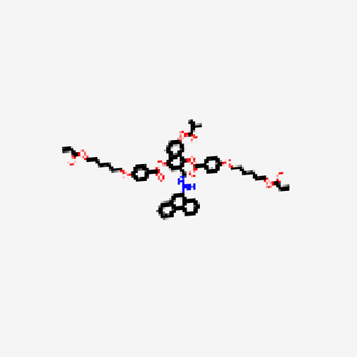 C=CC(=O)OCCCCCCOc1ccc(C(=O)Oc2cc(/C=N/Nc3cc4ccccc4c4ccccc34)c(OC(=O)c3ccc(OCCCCCCOC(=O)C=C)cc3)c3cc(OC(=O)C(=C)C)ccc23)cc1